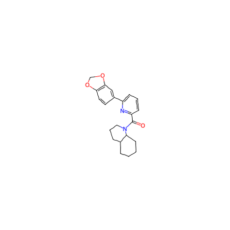 O=C(c1cccc(-c2ccc3c(c2)OCO3)n1)N1CCCC2CCCCC21